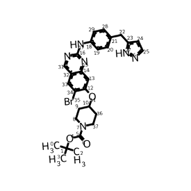 CC(C)(C)OC(=O)N1CCC(Oc2cc3nc(Nc4ccc(Cc5ccn[nH]5)cc4)ncc3cc2Br)CC1